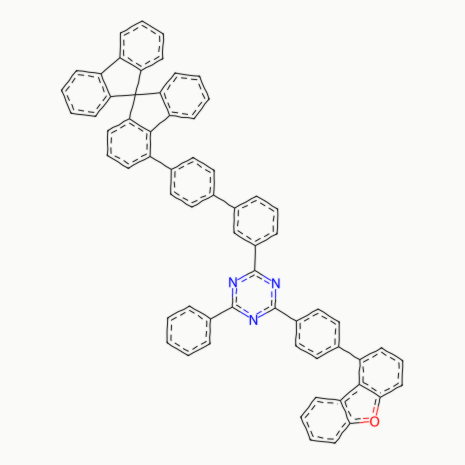 c1ccc(-c2nc(-c3ccc(-c4cccc5oc6ccccc6c45)cc3)nc(-c3cccc(-c4ccc(-c5cccc6c5-c5ccccc5C65c6ccccc6-c6ccccc65)cc4)c3)n2)cc1